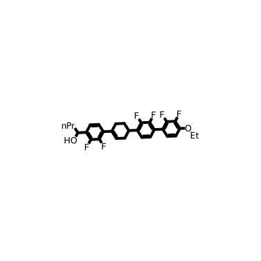 CCCC(O)c1ccc(C2=CCC(c3ccc(-c4ccc(OCC)c(F)c4F)c(F)c3F)CC2)c(F)c1F